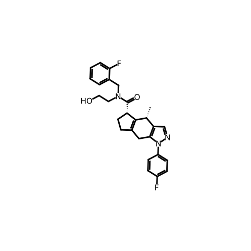 C[C@H]1C2=C(CC[C@@H]2C(=O)N(CCO)Cc2ccccc2F)Cc2c1cnn2-c1ccc(F)cc1